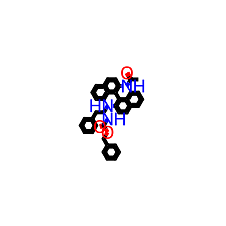 CC(=O)Nc1ccc2ccccc2c1-c1c(NC(Cc2ccccc2)NC(=O)OCc2ccccc2)ccc2ccccc12